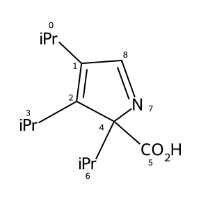 CC(C)C1=C(C(C)C)C(C(=O)O)(C(C)C)N=C1